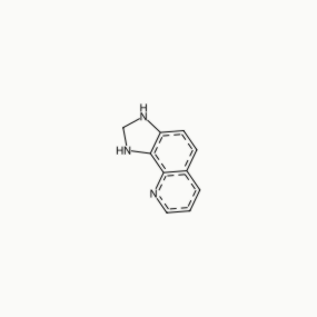 c1cnc2c3c(ccc2c1)NCN3